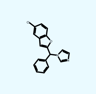 Clc1ccc2oc(C(c3ccccc3)n3ccnc3)cc2c1